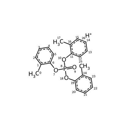 Cc1ccccc1OP(=O)(Oc1ccccc1C)Oc1ccccc1C.[H+]